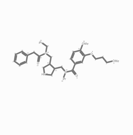 COCCCOc1cc(C(=O)N(CC2CNCC2CN(CC(C)C)C(=O)Cc2ccccc2)C(C)C)ccc1OC